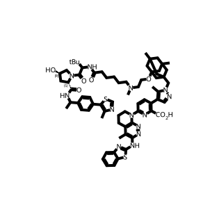 Cc1ncsc1-c1ccc(C(C)NC(=O)[C@@H]2C[C@@H](O)CN2C(=O)C(NC(=O)CCCCCN(C)CCOC23CC4(C)CC(C)(CC(Cn5ncc(-c6ccc(N7CCCc8c7nnc(Nc7nc9ccccc9s7)c8C)nc6C(=O)O)c5C)(C4)C2)C3)C(C)(C)C)cc1